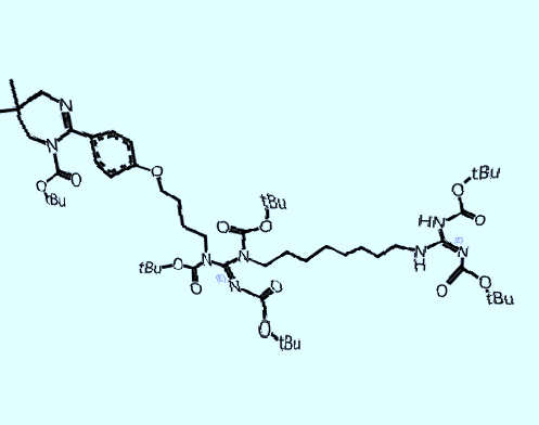 CC1(C)CN=C(c2ccc(OCCCCN(C(=O)OC(C)(C)C)/C(=N/C(=O)OC(C)(C)C)N(CCCCCCCCN/C(=N\C(=O)OC(C)(C)C)NC(=O)OC(C)(C)C)C(=O)OC(C)(C)C)cc2)N(C(=O)OC(C)(C)C)C1